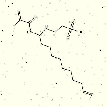 C=C(C)C(=O)NC(CCCCCCCCC=O)NCCS(=O)(=O)O